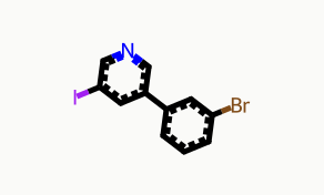 Brc1cccc(-c2cncc(I)c2)c1